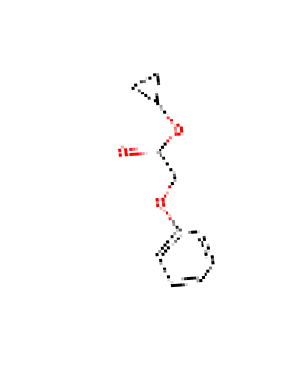 O=C(COc1ccccc1)OC1CC1